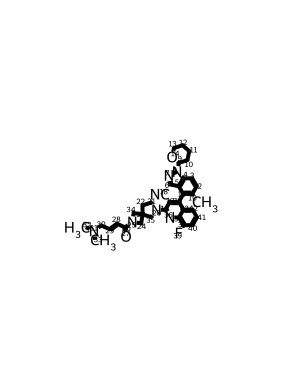 Cc1ccc2c(cnn2C2CCCCO2)c1-c1c(C#N)c(N2CCC3(CN(C(=O)/C=C/CN(C)C)C3)C2)nc2c(F)cccc12